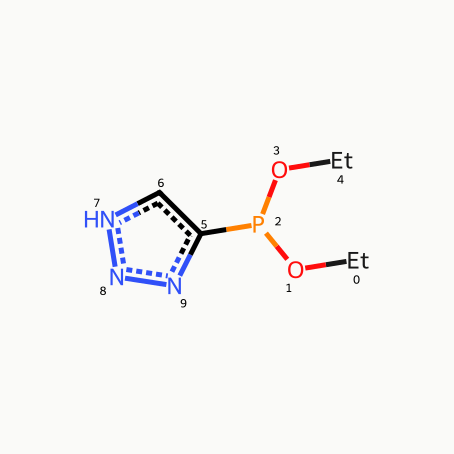 CCOP(OCC)c1c[nH]nn1